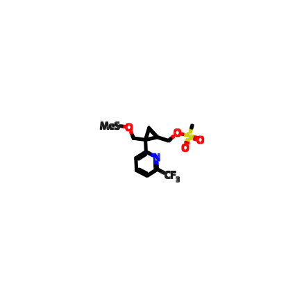 CSOCC1(c2cccc(C(F)(F)F)n2)CC1COS(C)(=O)=O